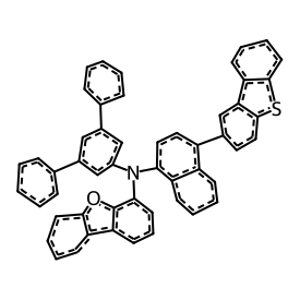 c1ccc(-c2cc(-c3ccccc3)cc(N(c3ccc(-c4ccc5sc6ccccc6c5c4)c4ccccc34)c3cccc4c3oc3ccccc34)c2)cc1